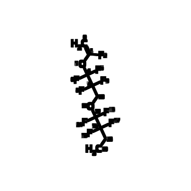 C=C(F)OC(F)(F)C(F)(F)COC(F)(F)C(F)(F)CC